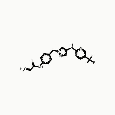 C=CC(=O)Nc1ccc(Cn2cc(Nc3ncc(C(F)(F)F)cn3)cn2)cc1